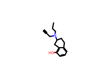 C#CCN(CCC)C1CCc2cccc(O)c2C1